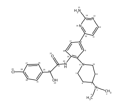 CN(C)C1CCN(c2cc(-c3ccnc(N)n3)ccc2NC(=O)C(O)c2ccc(Cl)cc2)CC1